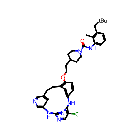 Cc1c(CC(C)(C)C)cccc1NC(=O)N1CCC(CCOc2ccc3cc2CCc2cncc(c2)Nc2ncc(Cl)c(n2)N3)CC1